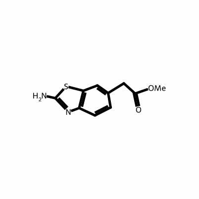 COC(=O)Cc1ccc2nc(N)sc2c1